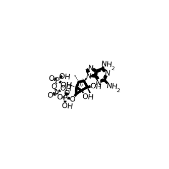 C[C@@H]1[C@@H](n2cnc3c(N)nc(N)nc32)[C@](C)(O)[C@@]2(O)C(OP(=O)(O)OP(=O)(O)OP(=O)(O)O)[C@@H]12